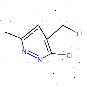 Cc1cc(CCl)c(Cl)nn1